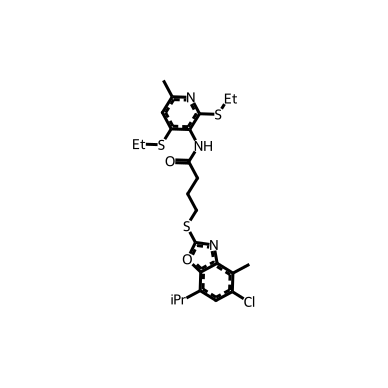 CCSc1cc(C)nc(SCC)c1NC(=O)CCCSc1nc2c(C)c(Cl)cc(C(C)C)c2o1